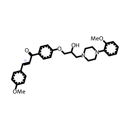 COc1ccc(/C=C/C(=O)c2ccc(OCC(O)CN3CCN(c4ccccc4OC)CC3)cc2)cc1